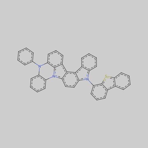 c1ccc(N2c3ccccc3-n3c4ccc5c(c6ccccc6n5-c5cccc6c5sc5ccccc56)c4c4cccc2c43)cc1